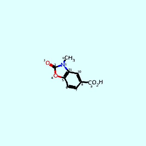 Cn1c(=O)oc2ccc(C(=O)O)cc21